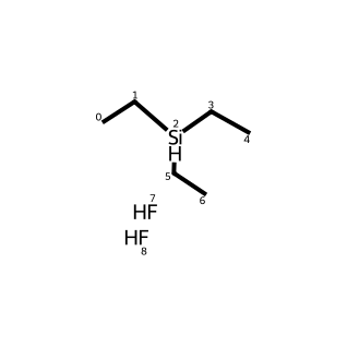 CC[SiH](CC)CC.F.F